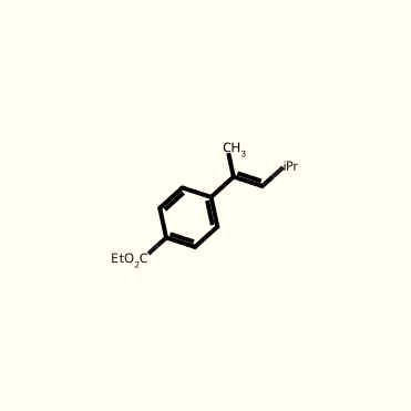 CCOC(=O)c1ccc(/C(C)=C/C(C)C)cc1